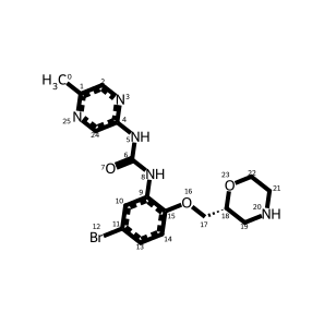 Cc1cnc(NC(=O)Nc2cc(Br)ccc2OC[C@H]2CNCCO2)cn1